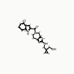 O=C(c1cc2c(Cl)cccc2[nH]1)N1CCc2nc(NCC3(CO)CC3)sc2C1